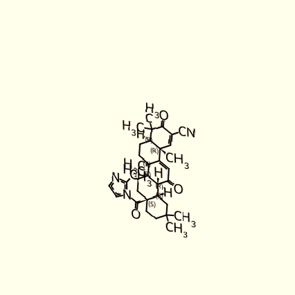 Cc1nccn1C(=O)[C@]12CCC(C)(C)C[C@H]1[C@H]1C(=O)C=C3[C@@]4(C)C=C(C#N)C(=O)C(C)(C)[C@@H]4CC[C@@]3(C)[C@]1(C)CC2